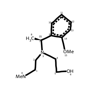 CNCCN(CCO)[C@@H](C)c1ccccc1OC